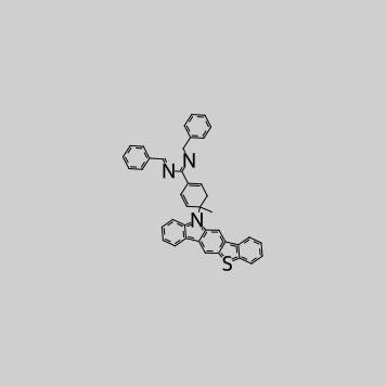 CC1(n2c3ccccc3c3cc4sc5ccccc5c4cc32)C=CC(C(=N/Cc2ccccc2)/N=C/c2ccccc2)=CC1